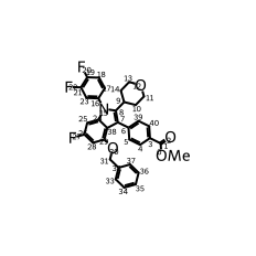 COC(=O)c1ccc(-c2c(C3CCOCC3)n(-c3ccc(F)c(F)c3)c3cc(F)cc(OCc4ccccc4)c23)cc1